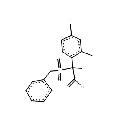 NC(=O)C(N)(c1ccc(F)cc1C(F)(F)F)S(=O)(=O)Cc1ccccc1